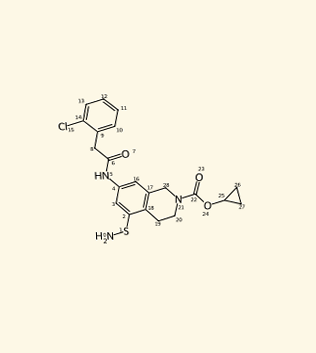 NSc1cc(NC(=O)Cc2ccccc2Cl)cc2c1CCN(C(=O)OC1CC1)C2